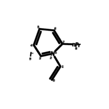 C=C[n+]1ccccc1CCC.[I-]